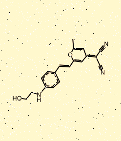 CC1=CC(=C(C#N)C#N)C=C(C=Cc2ccc(NCCO)cc2)O1